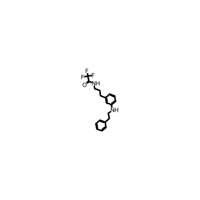 O=C(NCCCc1cccc(NCCc2ccccc2)c1)C(F)(F)F